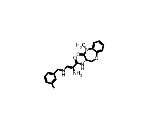 CN1C(=O)[C@@H](NC(=O)/C(N)=C/NCc2cccc(F)c2)COc2ccccc21